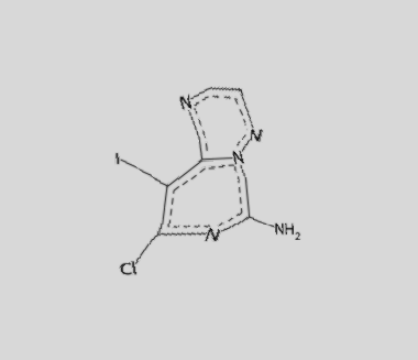 Nc1nc(Cl)c(I)c2ncnn12